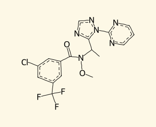 CON(C(=O)c1cc(Cl)cc(C(F)(F)F)c1)C(C)c1ncnn1-c1ncccn1